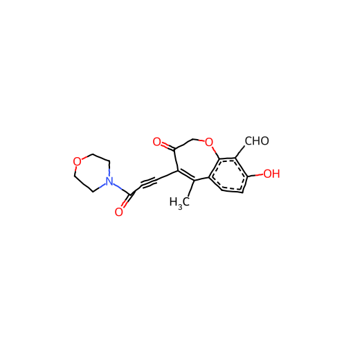 CC1=C(C#CC(=O)N2CCOCC2)C(=O)COc2c1ccc(O)c2C=O